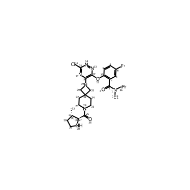 CCN(C(=O)c1cc(F)ccc1Oc1nnc(Cl)nc1N1CC2(CCN(C(=O)[C@H]3NCC[C@@H]3C)CC2)C1)C(C)C